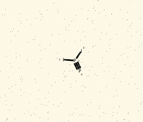 P#P(I)I